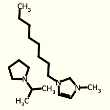 CC(C)N1CCCC1.CCCCCCCCN1C=CN(C)C1